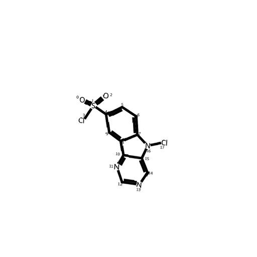 O=S(=O)(Cl)c1ccc2c(c1)c1ncncc1n2Cl